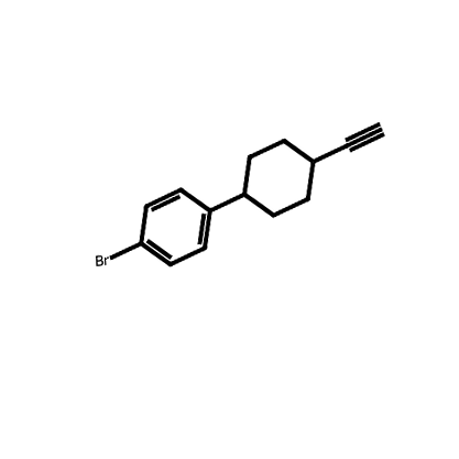 C#CC1CCC(c2ccc(Br)cc2)CC1